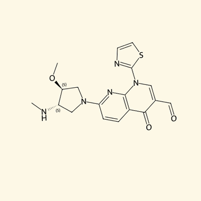 CN[C@H]1CN(c2ccc3c(=O)c(C=O)cn(-c4nccs4)c3n2)C[C@@H]1OC